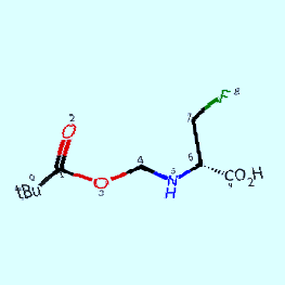 CC(C)(C)C(=O)OCN[C@H](CF)C(=O)O